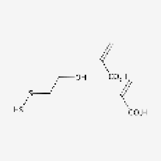 C=C(C)C(=O)O.C=C(C)C(=O)O.OCCSS